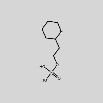 O=P(O)(O)OCCC1CCCC[N]1